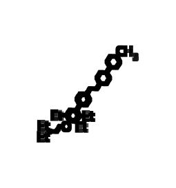 CCc1cc(-c2ccc(CCC3CCC(C4CCC(C)CC4)CC3)cc2)c(CC)c(CC)c1OCCC(CC)CC